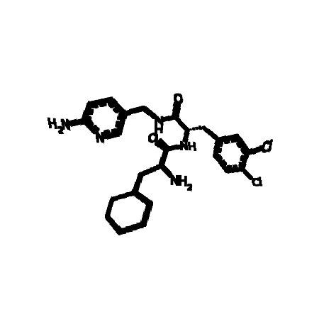 Nc1ccc(CNC(=O)[C@H](Cc2ccc(Cl)c(Cl)c2)NC(=O)C(N)CC2CCCCC2)cn1